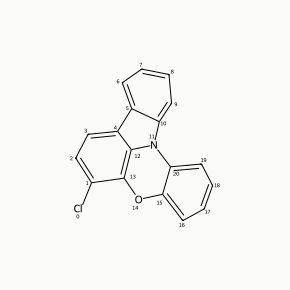 Clc1ccc2c3ccccc3n3c2c1Oc1ccccc1-3